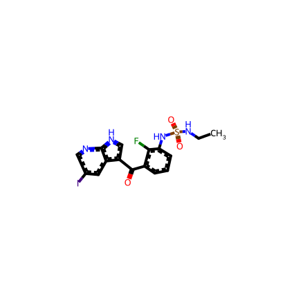 CCNS(=O)(=O)Nc1cccc(C(=O)c2c[nH]c3ncc(I)cc23)c1F